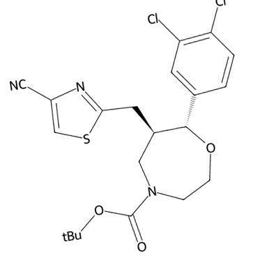 CC(C)(C)OC(=O)N1CCO[C@@H](c2ccc(Cl)c(Cl)c2)[C@H](Cc2nc(C#N)cs2)C1